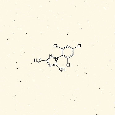 Cc1cc(O)n(-c2c(Cl)cc(Cl)cc2Cl)n1